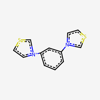 c1cc(-[n+]2ccsc2)cc(-[n+]2ccsc2)c1